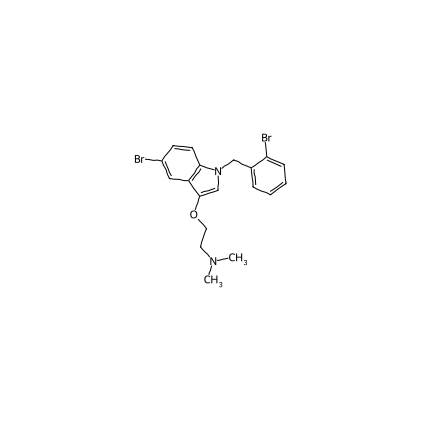 CN(C)CCOc1cn(Cc2ccccc2Br)c2ccc(Br)cc12